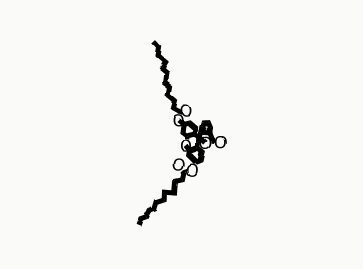 CCCCCCCCCCCC(=O)Oc1ccc2c(c1)Oc1cc(OC(=O)CCCCCCCCCCC)ccc1C21OC(=O)c2ccccc21